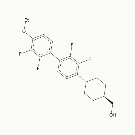 CCOc1ccc(-c2ccc([C@H]3CC[C@H](CO)CC3)c(F)c2F)c(F)c1F